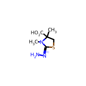 CN1/C(=N\N)SCC1(C)C(=O)O